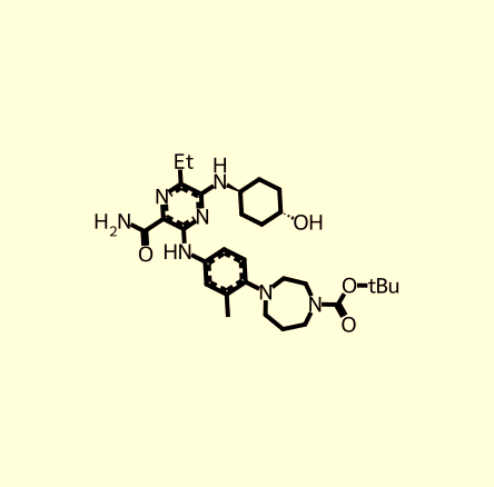 CCc1nc(C(N)=O)c(Nc2ccc(N3CCCN(C(=O)OC(C)(C)C)CC3)c(C)c2)nc1N[C@H]1CC[C@H](O)CC1